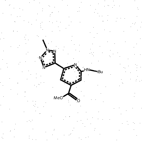 CCC(C)Nc1cc(C(=O)OC)cc(-c2nnn(C)n2)n1